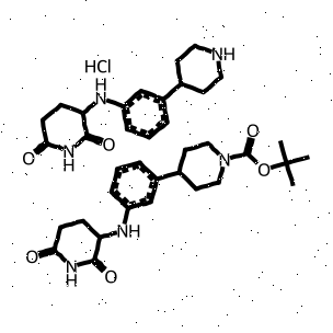 CC(C)(C)OC(=O)N1CCC(c2cccc(NC3CCC(=O)NC3=O)c2)CC1.Cl.O=C1CCC(Nc2cccc(C3CCNCC3)c2)C(=O)N1